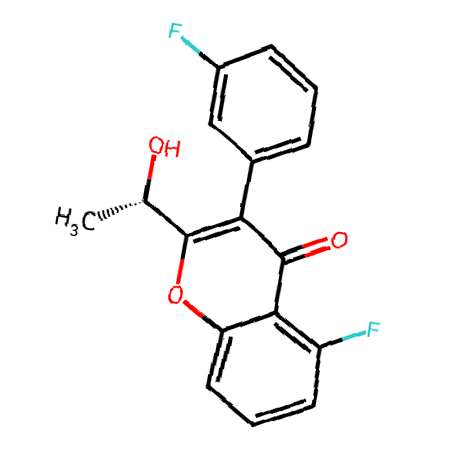 C[C@H](O)c1oc2cccc(F)c2c(=O)c1-c1cccc(F)c1